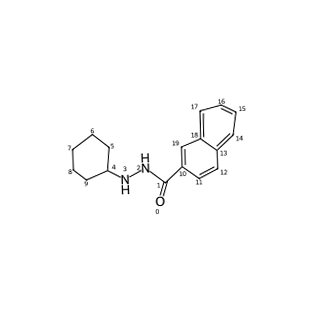 O=C(NNC1CCCCC1)c1ccc2ccccc2c1